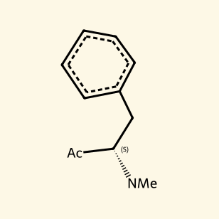 CN[C@@H](Cc1ccccc1)C(C)=O